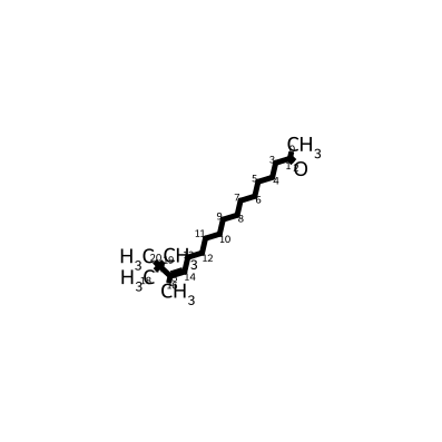 CC(=O)CCCCCCCCCCCC=C(C)C(C)(C)C